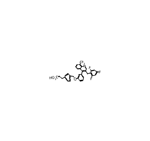 O=C(O)CCc1ccc(COc2cccc(-c3c(Cc4c(F)cc(F)cc4F)cnc4c(C(F)(F)F)cccc34)c2)cc1